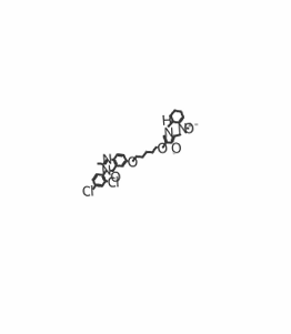 COc1c(OCCCCCOc2ccc3nc(C)n(-c4ccc(Cl)cc4Cl)c(=O)c3c2)cn2c1C=[N+]([O-])C1=CCCC[C@H]1C2